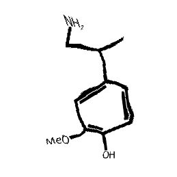 COc1cc(C(C)CN)ccc1O